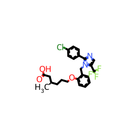 C[C@H](CCCOc1ccccc1Cn1c(C(F)(F)F)cnc1-c1ccc(Cl)cc1)CC(=O)O